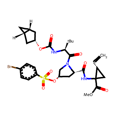 C=C[C@@H]1CC1(NC(=O)[C@@H]1C[C@H](OS(=O)(=O)c2ccc(Br)cc2)CN1C(=O)[C@@H](NC(=O)O[C@@H]1C[C@@H]2C[C@@H]2C1)C(C)(C)C)C(=O)OC